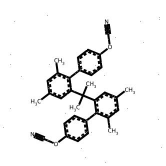 Cc1cc(C)c(-c2ccc(OC#N)cc2)c(C(C)(C)c2cc(C)cc(C)c2-c2ccc(OC#N)cc2)c1